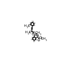 CO/N=C(/C(=O)OC)c1ccccc1CO/N=C(\C)C#Cc1ccccc1C